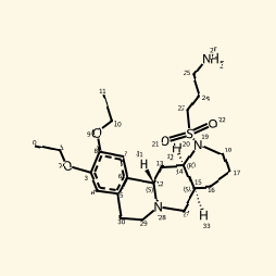 CCOc1cc2c(cc1OCC)[C@@H]1C[C@@H]3[C@@H](CCCN3S(=O)(=O)CCCN)CN1CC2